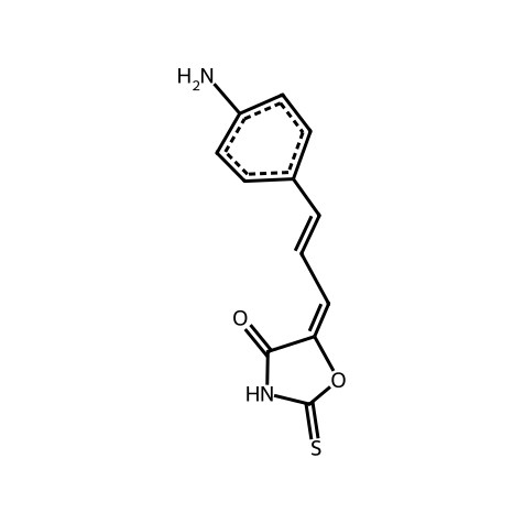 Nc1ccc(C=CC=C2OC(=S)NC2=O)cc1